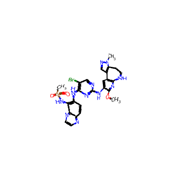 COc1nc2c(cc1Nc1ncc(Br)c(Nc3ccc4nccnc4c3NS(C)(=O)=O)n1)-c1cnn(C)c1CCN2